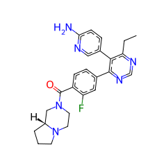 CCc1ncnc(-c2ccc(C(=O)N3CCN4CCC[C@@H]4C3)c(F)c2)c1-c1ccc(N)nc1